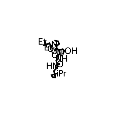 CCC(C)(CC)CC(=O)N1CCCC1C(=O)C1CC(O)CN1C(=O)NCC(=O)NCCC1(C(C)C)CCC1